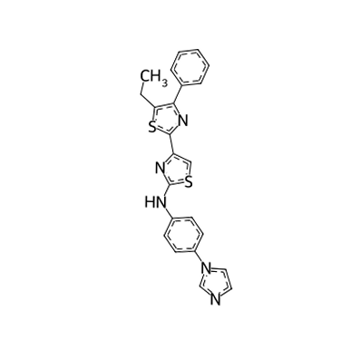 CCc1sc(-c2csc(Nc3ccc(-n4ccnc4)cc3)n2)nc1-c1ccccc1